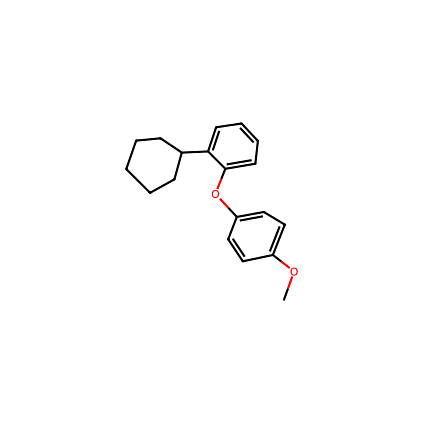 COc1ccc(Oc2ccccc2C2CCCCC2)cc1